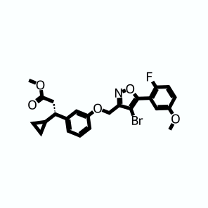 COC(=O)C[C@H](c1cccc(OCc2noc(-c3cc(OC)ccc3F)c2Br)c1)C1CC1